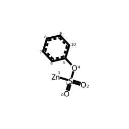 O=[S](=O)([Zn])Oc1ccccc1